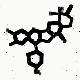 CC[C@@]1(O)C(=O)OCc2c1cc1n(c2=O)Cc2c-1nc1cc(F)c(C)cc1c2-c1ccc(N)cc1